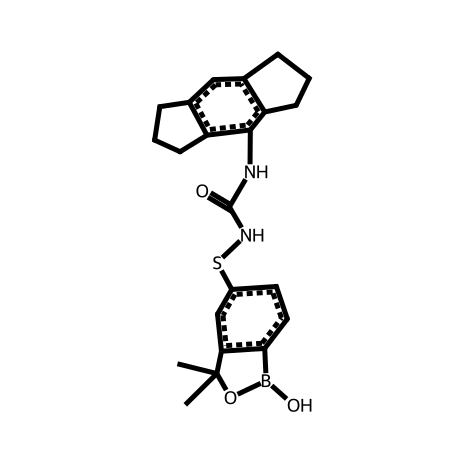 CC1(C)OB(O)c2ccc(SNC(=O)Nc3c4c(cc5c3CCC5)CCC4)cc21